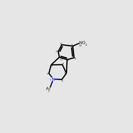 CC(=O)N1CC2CC(C1)c1cc([N+](=O)[O-])ccc12